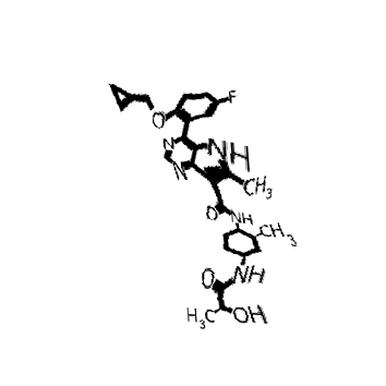 Cc1[nH]c2c(-c3cc(F)ccc3OCC3CC3)ncnc2c1C(=O)N[C@@H]1CC[C@H](NC(=O)[C@H](C)O)C[C@H]1C